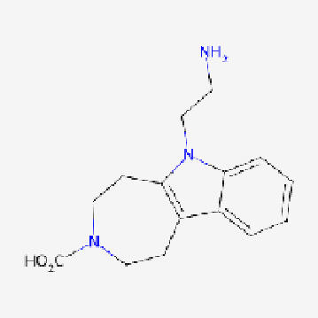 NCCn1c2c(c3ccccc31)CCN(C(=O)O)CC2